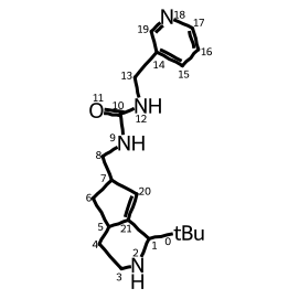 CC(C)(C)C1NCCC2CC(CNC(=O)NCc3cccnc3)C=C21